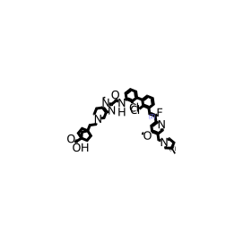 COc1cc(/C(F)=C/c2cccc(-c3cccc(NC(=O)c4nc5c(n4C)CCN(CCC46CCC(C(=O)O)(CC4)C6)C5)c3Cl)c2Cl)ncc1CN1CC[C@@H](C)C1